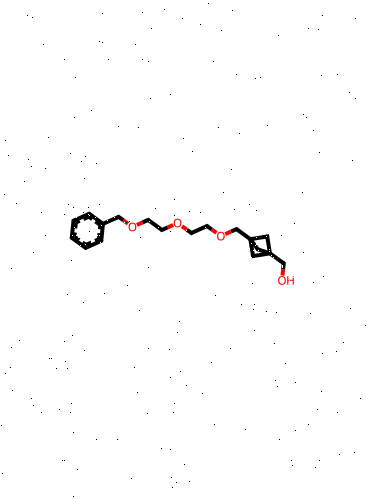 OCC12CC(COCCOCCOCc3ccccc3)(C1)C2